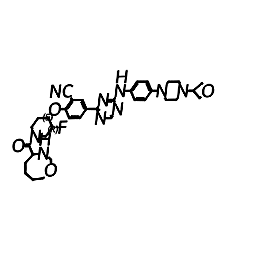 N#Cc1cc(-c2ncnc(Nc3ccc(N4CCN(C5COC5)CC4)cc3)n2)ccc1O[C@H]1CCN(C(=O)C2CCCCOCN2)C[C@H]1F